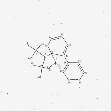 CC(C)C1(P(C(C)(C)C)C(C)(C)C)CC=CC=C1c1ccccc1